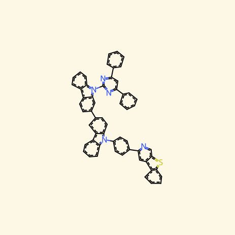 c1ccc(-c2cc(-c3ccccc3)nc(-n3c4ccccc4c4ccc(-c5ccc6c(c5)c5ccccc5n6-c5ccc(-c6cc7c(cn6)sc6ccccc67)cc5)cc43)n2)cc1